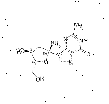 Nc1nc2c(ncn2[C@@]2(N)C[C@H](O)[C@@H](CO)O2)c(=O)[nH]1